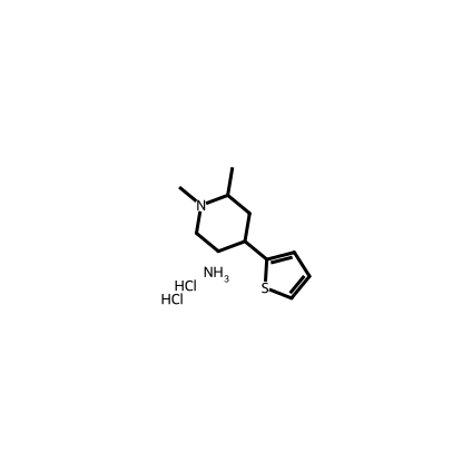 CC1CC(c2cccs2)CCN1C.Cl.Cl.N